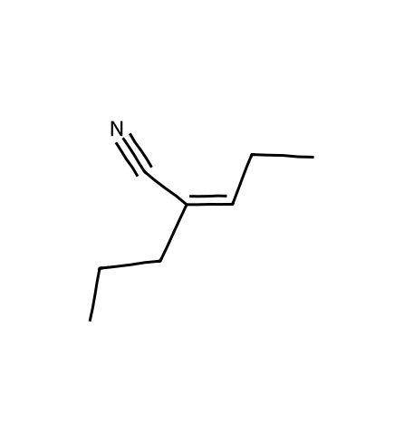 CC/C=C(\C#N)CCC